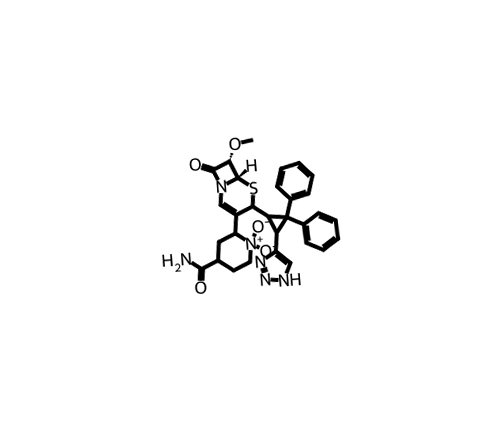 CO[C@H]1C(=O)N2C=C(C3CC(C(N)=O)CC[N+]3([O-])[O-])C(C3C(c4c[nH]nn4)C3(c3ccccc3)c3ccccc3)S[C@@H]12